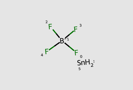 F[B-](F)(F)F.[SnH2]